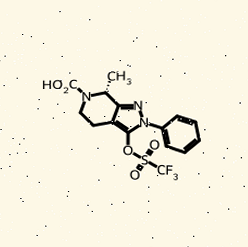 C[C@@H]1c2nn(-c3ccccc3)c(OS(=O)(=O)C(F)(F)F)c2CCN1C(=O)O